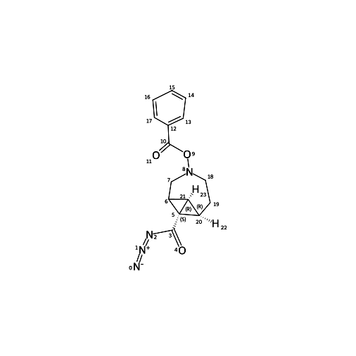 [N-]=[N+]=NC(=O)[C@@]12C3CN(OC(=O)c4ccccc4)CC[C@@H]1[C@H]32